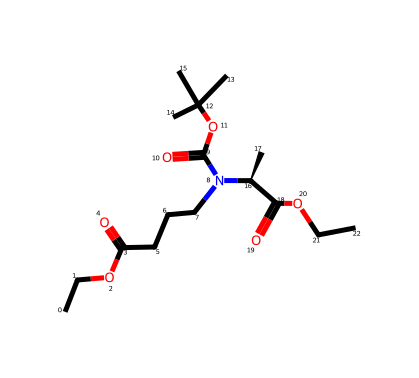 CCOC(=O)CCCN(C(=O)OC(C)(C)C)[C@@H](C)C(=O)OCC